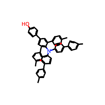 Cc1ccc(-c2ccc(N(c3ccc(-c4ccc(C)cc4)cc3)c3c(-c4ccc(C)cc4)cc(-c4ccc(O)cc4)cc3-c3ccc(C)cc3)cc2)cc1